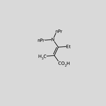 CCCN(CCC)/C(CC)=C(\C)C(=O)O